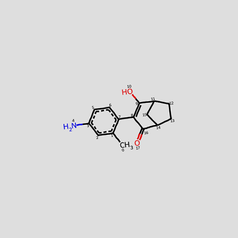 Cc1cc(N)ccc1C1=C(O)C2CCC(C2)C1=O